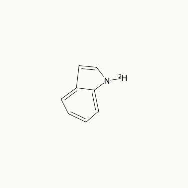 [2H]n1ccc2ccccc21